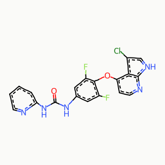 O=C(Nc1cc(F)c(Oc2ccnc3[nH]cc(Cl)c23)c(F)c1)Nc1ccccn1